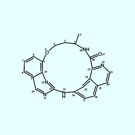 CC1CCOc2cccc3cnc(nc23)Nc2ccc3ccnc(c3c2)C(=O)N1